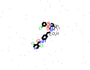 CC1(C)CCN(S(=O)(=O)c2cccc(Cl)c2)[C@@H]1C(=O)N[C@@H](Cc1ccc(NC(=O)c2c(Cl)cncc2Cl)cc1)C(=O)O